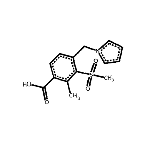 Cc1c(C(=O)O)ccc(Cn2cccc2)c1S(C)(=O)=O